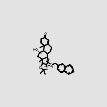 CC1(C)O[C@H]2CC3C4CCC5=CC(=O)C=CC5(C)C4[C@@H](O)CC3(C)[C@]2(C(=O)SCc2ccc3ccccc3c2)O1